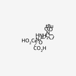 CC(C)(C)OC(=O)n1cc(C[C@H](N)C(=O)N[C@@H](CCC(=O)O)C(=O)O)c2ccccc21